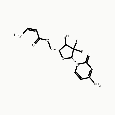 Nc1ccn([C@@H]2O[C@H](COC(=O)/C=C\C(=O)O)C(O)C2(F)F)c(=O)n1